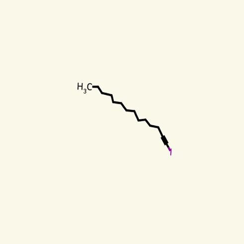 CCCCCCCCCCCCC#CI